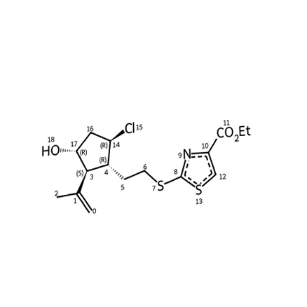 C=C(C)[C@@H]1[C@@H](CCSc2nc(C(=O)OCC)cs2)[C@H](Cl)C[C@H]1O